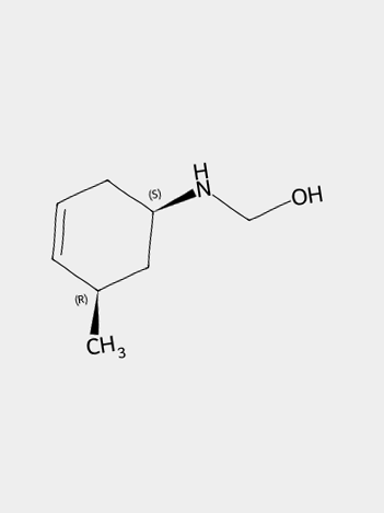 C[C@H]1C=CC[C@@H](NCO)C1